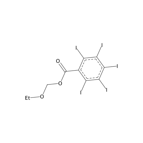 CCOCOC(=O)c1c(I)c(I)c(I)c(I)c1I